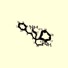 NCCC1(CCCc2ccccc2)CCNc2ccccc21